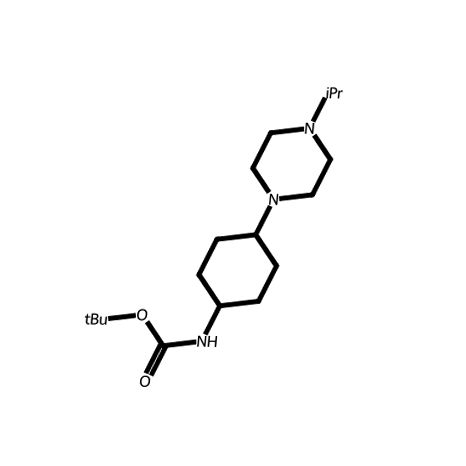 CC(C)N1CCN(C2CCC(NC(=O)OC(C)(C)C)CC2)CC1